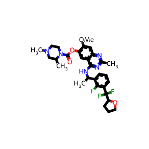 COc1cc2nc(C)nc(NC(C)c3cccc(C(F)(F)C4CCCO4)c3F)c2cc1OC(=O)N1CCN(C)CC1C